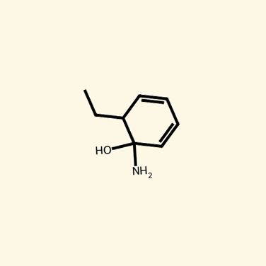 CCC1C=CC=CC1(N)O